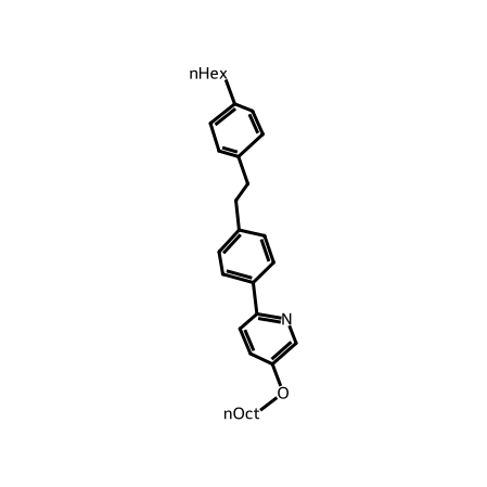 CCCCCCCCOc1ccc(-c2ccc(CCc3ccc(CCCCCC)cc3)cc2)nc1